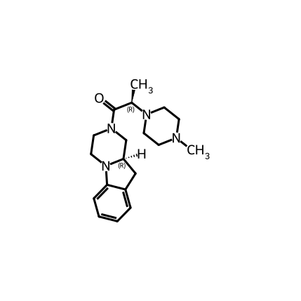 C[C@H](C(=O)N1CCN2c3ccccc3C[C@@H]2C1)N1CCN(C)CC1